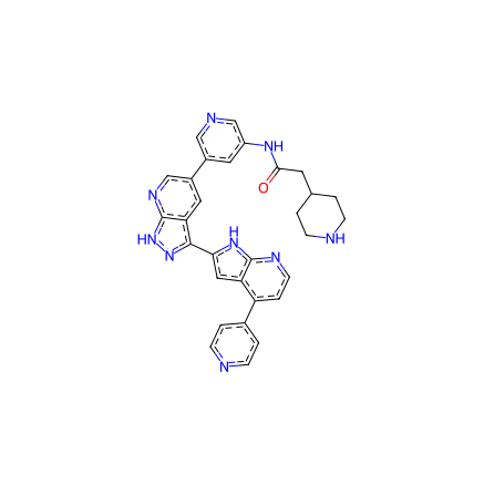 O=C(CC1CCNCC1)Nc1cncc(-c2cnc3[nH]nc(-c4cc5c(-c6ccncc6)ccnc5[nH]4)c3c2)c1